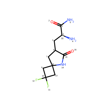 NC(=O)[C@@H](N)CC1CC2(CC(F)(F)C2)NC1=O